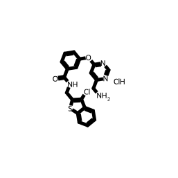 Cl.NCc1cc(Oc2cccc(C(=O)NCc3sc4ccccc4c3Cl)c2)ncn1